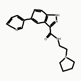 O=C(NCCN1CCCC1)c1n[nH]c2ccc(-c3cccnc3)cc12